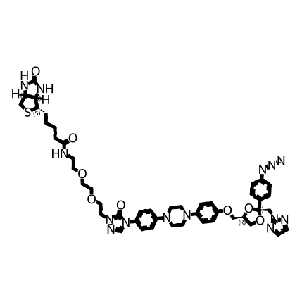 [N-]=[N+]=Nc1ccc([C@]2(Cn3nccn3)OC[C@@H](COc3ccc(N4CCN(c5ccc(-n6cnn(CCOCCOCCNC(=O)CCCC[C@@H]7SC[C@@H]8NC(=O)N[C@@H]87)c6=O)cc5)CC4)cc3)O2)cc1